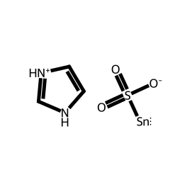 O=[S](=O)([O-])[Sn].c1c[nH+]c[nH]1